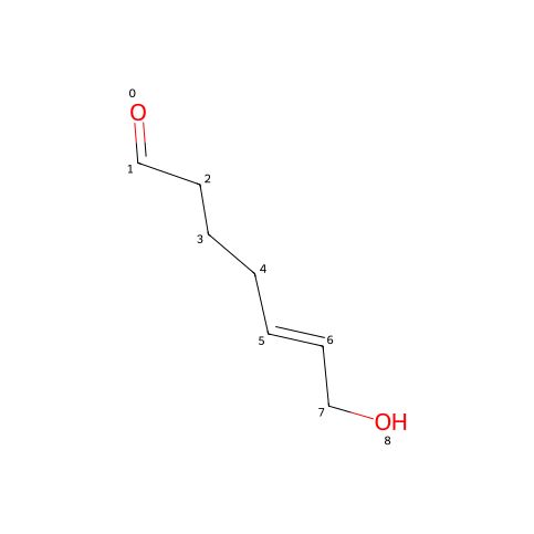 O=CCCCC=CCO